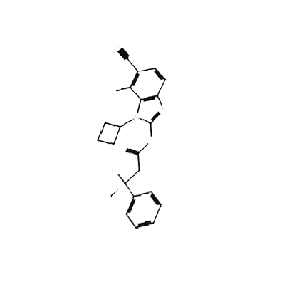 C[C@@](O)(CC(=O)Nc1nc2ccc(C#N)c(F)c2n1C1CCC1)c1ccccc1